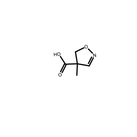 CC1(C(=O)O)C=NOC1